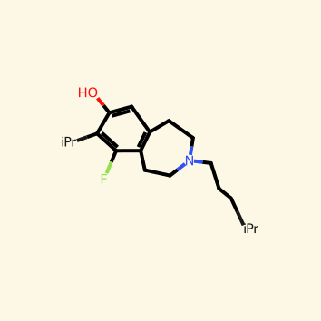 CC(C)CCCN1CCc2cc(O)c(C(C)C)c(F)c2CC1